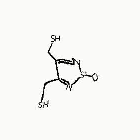 [O-][s+]1nc(CS)c(CS)n1